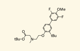 COc1c(F)cc(-c2ccc(OCCN(C)CC(=O)OC(C)(C)C)c(C(C)(C)C)c2)cc1F